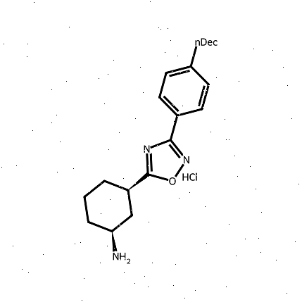 CCCCCCCCCCc1ccc(-c2noc([C@@H]3CCC[C@H](N)C3)n2)cc1.Cl